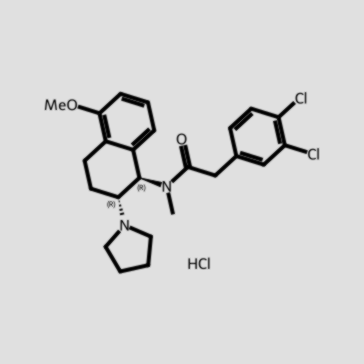 COc1cccc2c1CC[C@@H](N1CCCC1)[C@@H]2N(C)C(=O)Cc1ccc(Cl)c(Cl)c1.Cl